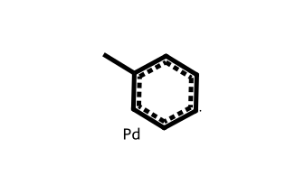 Cc1cc[c]cc1.[Pd]